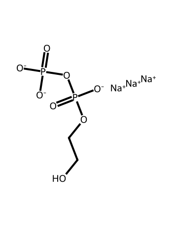 O=P([O-])([O-])OP(=O)([O-])OCCO.[Na+].[Na+].[Na+]